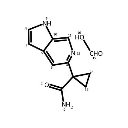 NC(=O)C1(c2cc3cc[nH]c3cn2)CC1.O=CO